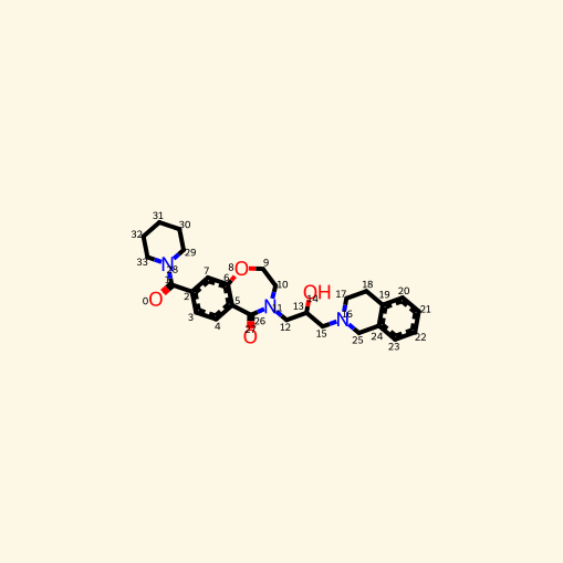 O=C(c1ccc2c(c1)OCCN(CC(O)CN1CCc3ccccc3C1)C2=O)N1CCCCC1